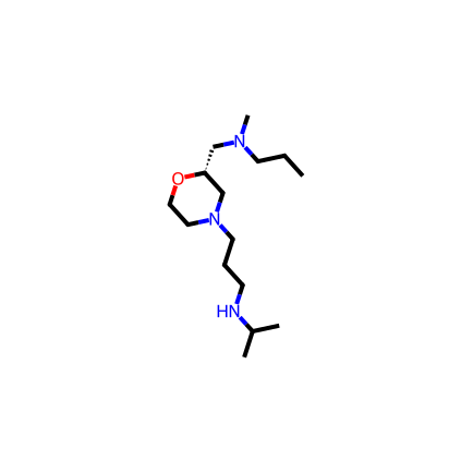 CCCN(C)C[C@@H]1CN(CCCNC(C)C)CCO1